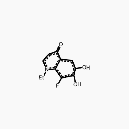 CCn1c[c]c(=O)c2cc(O)c(O)c(F)c21